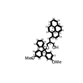 COc1ccc(C(OCC(CO)Cc2ccc3ccc4cccc5ccc2c3c45)(c2ccccc2)c2ccc(OC)cc2)cc1